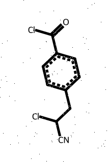 N#CC(Cl)Cc1ccc(C(=O)Cl)cc1